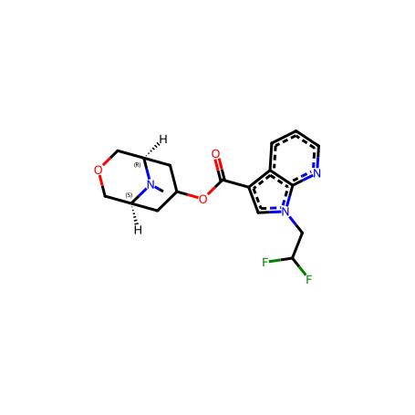 CN1[C@@H]2COC[C@H]1CC(OC(=O)c1cn(CC(F)F)c3ncccc13)C2